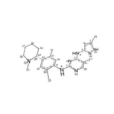 Cc1cc(Nc2nc(Nc3cc(C)c([C@H]4CCCCN4C)cc3C)ncc2I)n[nH]1